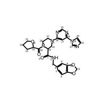 O=C(NCc1ccc2c(c1)OCO2)C1CN(c2cc(-n3ccnc3)ncn2)CCN1C(=O)C1CCCO1